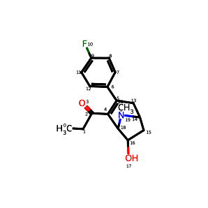 CCC(=O)C1=C(c2ccc(F)cc2)CC2CC(O)C1N2C